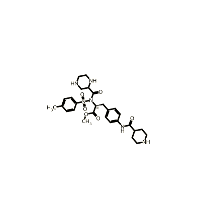 COC(=O)[C@H](Cc1ccc(NC(=O)C2CCNCC2)cc1)N(C(=O)C1CNCCN1)S(=O)(=O)c1ccc(C)cc1